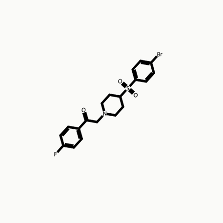 O=C(CN1CCC(S(=O)(=O)c2ccc(Br)cc2)CC1)c1ccc(F)cc1